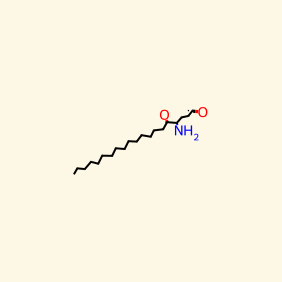 CCCCCCCCCCCCCCCC(=O)C(N)CC[C]=O